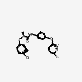 CN(Sc1ccc(Cl)cc1)C(=O)Nc1ccc(Oc2ccc(Cl)nn2)cc1